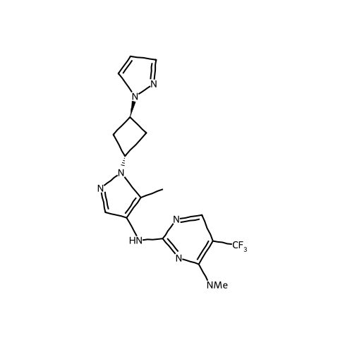 CNc1nc(Nc2cnn([C@H]3C[C@H](n4cccn4)C3)c2C)ncc1C(F)(F)F